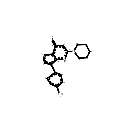 N#Cc1ccc(-c2csc3c(=O)cc(N4CCCCC4)oc23)cc1